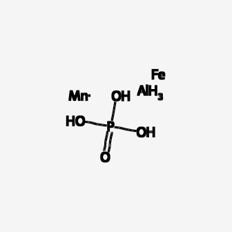 O=P(O)(O)O.[AlH3].[Fe].[Mn]